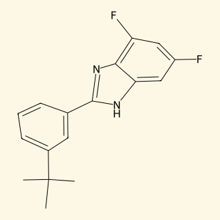 CC(C)(C)c1cccc(-c2nc3c(F)cc(F)cc3[nH]2)c1